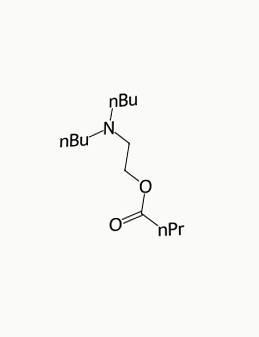 CCCCN(CCCC)CCOC(=O)CCC